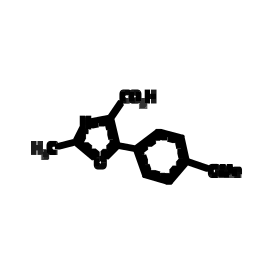 COc1ccc(-c2oc(C)nc2C(=O)O)cc1